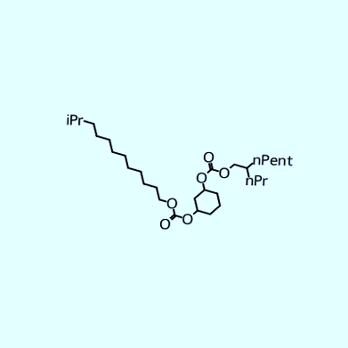 CCCCCC(CCC)COC(=O)OC1CCCC(OC(=O)OCCCCCCCCCCC(C)C)C1